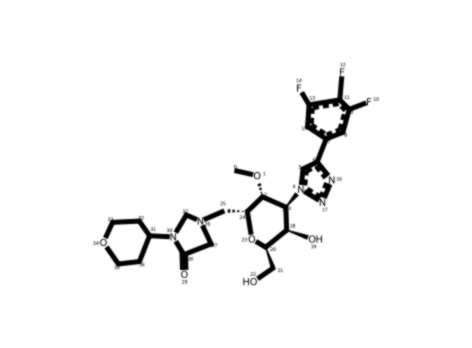 CO[C@@H]1[C@@H](n2cc(-c3cc(F)c(F)c(F)c3)nn2)[C@@H](O)[C@@H](CO)O[C@@H]1CN1CC(=O)N(C2CCOCC2)C1